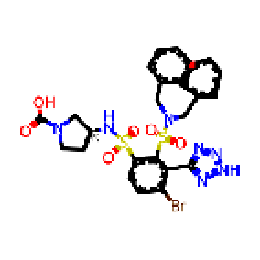 O=C(O)N1CC[C@@H](NS(=O)(=O)c2ccc(Br)c(-c3nn[nH]n3)c2S(=O)(=O)N(Cc2ccccc2)Cc2ccccc2)C1